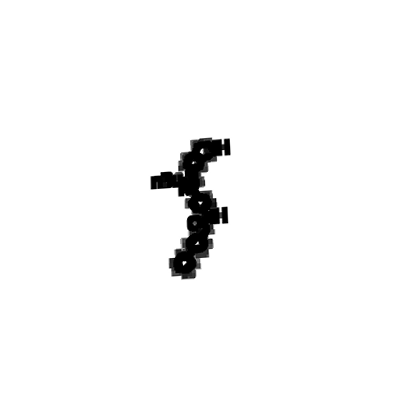 CCCCc1nc(-c2ccc(NC(=O)Cc3ccc(-c4ccccc4)cc3)cc2)cn1-c1ccc2c(c1)CNCC2